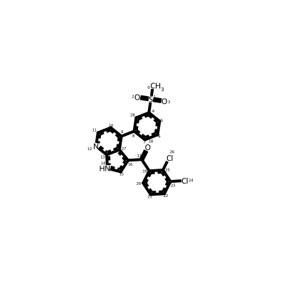 CS(=O)(=O)c1cccc(-c2ccnc3[nH]cc(C(=O)c4cccc(Cl)c4Cl)c23)c1